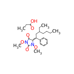 CCC(=O)O.CCCCC(CC)CC(=C1C(=O)N(OC)C(=O)N1OC)c1ccccc1